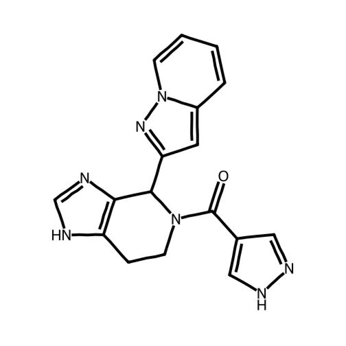 O=C(c1cn[nH]c1)N1CCc2[nH]cnc2C1c1cc2ccccn2n1